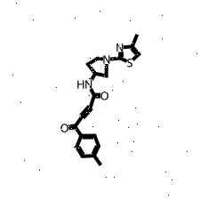 Cc1ccc(C(=O)C#CC(=O)NC2CCN(c3nc(C)cs3)C2)cc1